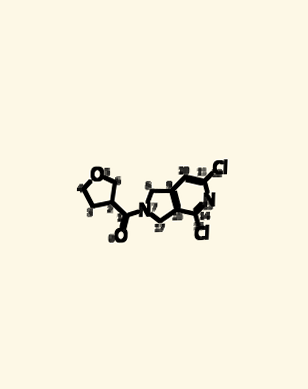 O=C(C1CCOC1)N1Cc2cc(Cl)nc(Cl)c2C1